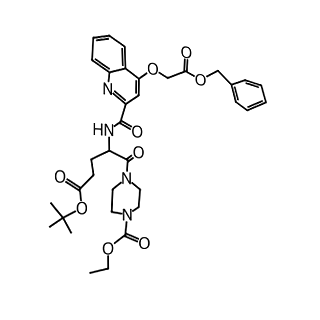 CCOC(=O)N1CCN(C(=O)C(CCC(=O)OC(C)(C)C)NC(=O)c2cc(OCC(=O)OCc3ccccc3)c3ccccc3n2)CC1